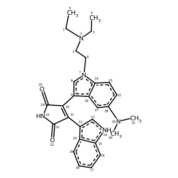 CCN(CC)CCn1cc(C2=C(c3c[nH]c4ccccc34)C(=O)NC2=O)c2cc(N(C)C)ccc21